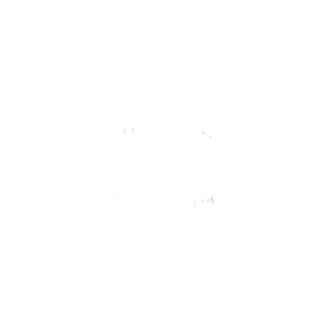 CC(=O)C(O)C([O])=O